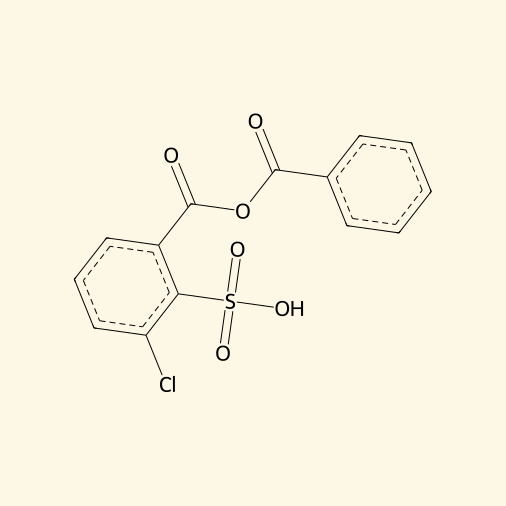 O=C(OC(=O)c1cccc(Cl)c1S(=O)(=O)O)c1ccccc1